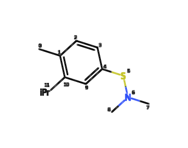 Cc1ccc(SN(C)C)cc1C(C)C